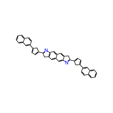 C1=C(C2=Nc3cc4cc5c(cc4cc3C2)N=C(C2=CC=C(c3ccc4ccccc4c3)C2)C5)CC(c2ccc3ccccc3c2)=C1